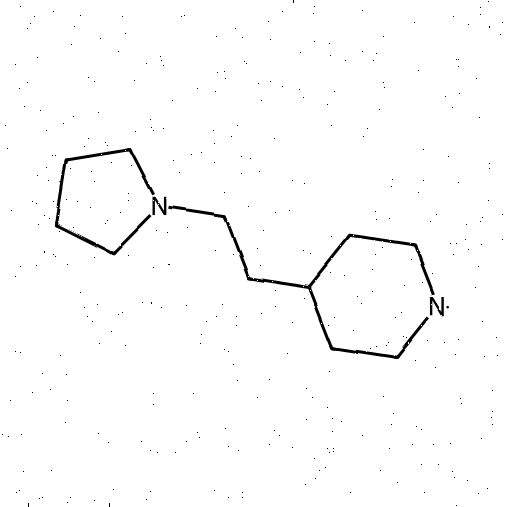 C1CCN(CCC2CC[N]CC2)C1